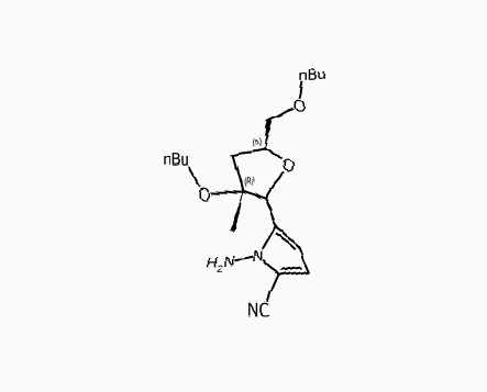 CCCCOC[C@@H]1C[C@@](C)(OCCCC)C(c2ccc(C#N)n2N)O1